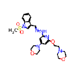 CS(=O)(=O)n1cc(C=NNc2cc(N3CCOCC3)cc(OCCN3CCOCC3)n2)c2ccccc21